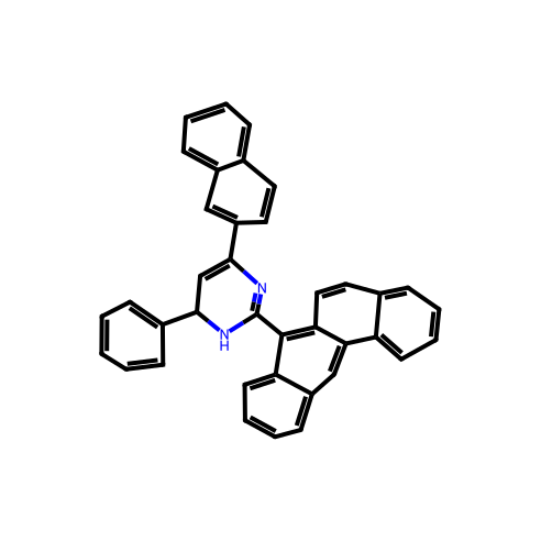 C1=C(c2ccc3ccccc3c2)N=C(c2c3ccccc3cc3c2ccc2ccccc23)NC1c1ccccc1